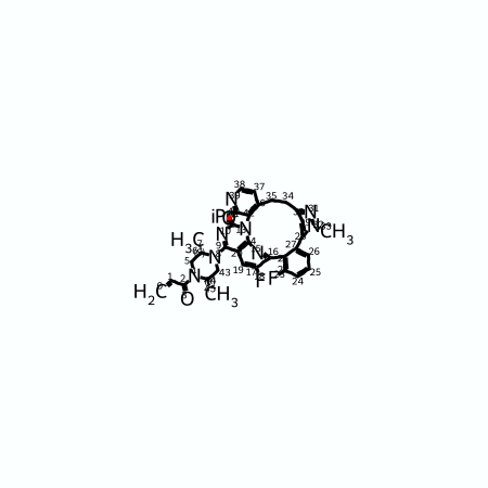 C=CC(=O)N1C[C@H](C)N(c2nc(=O)n3c4nc(c(F)cc24)-c2c(F)cccc2-c2cc(nn2C)CCc2ccnc(C(C)C)c2-3)C[C@H]1C